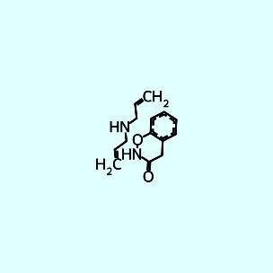 C=CCNCC=C.O=C1Cc2ccccc2ON1